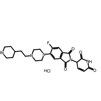 Cl.O=C1C=CC(N2C(=O)c3cc(F)c(N4CCN(CCC5CCNCC5)CC4)cc3C2=O)C(=O)N1